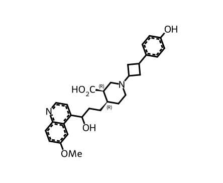 COc1ccc2nccc(C(O)CC[C@@H]3CCN(C4CC(c5ccc(O)cc5)C4)C[C@@H]3C(=O)O)c2c1